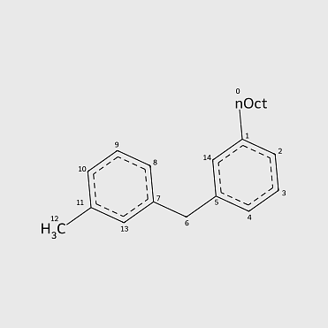 CCCCCCCCc1cccc(Cc2cccc(C)c2)c1